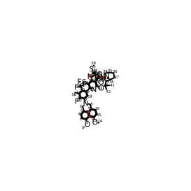 COc1ccc(CN(Cc2ccc(OC)cc2)c2cc(-c3nc4c5c(nc(SC)nc5c3F)N3CC5CCC(C3C(C)(C)O4)N5C(=O)OC(C)(C)C)c(C(F)(F)F)c(C)c2F)cc1